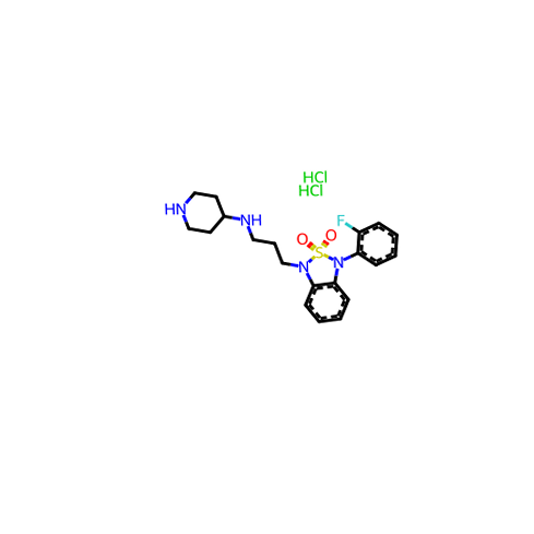 Cl.Cl.O=S1(=O)N(CCCNC2CCNCC2)c2ccccc2N1c1ccccc1F